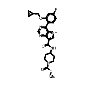 CC(C)(C)OC(=O)N1CCC(NC(=O)c2c[nH]c3c(-c4ccc(F)cc4OCC4CC4)ncnc23)CC1